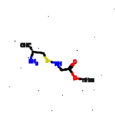 CCCCCCOC(=O)CNSC[C@H](N)C=O